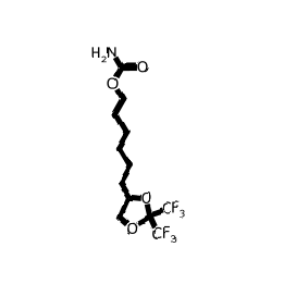 NC(=O)OCCCCCCC1COC(C(F)(F)F)(C(F)(F)F)O1